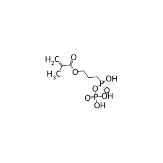 C=C(C)C(=O)OCCCP(=O)(O)OP(=O)(O)O